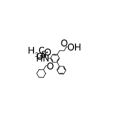 CS(=O)(=O)Nc1cc(CCC(=O)O)cc(-c2ccccc2)c1OCC1CCCCC1